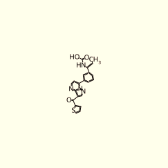 CC=C(NC(=O)O)c1cccc(-c2ccnc3c(C(=O)c4cccs4)cnn23)c1